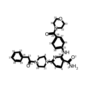 NC(=O)c1ccc(N2CCN(C(=O)Cc3ccccc3)CC2)nc1Nc1ccc(C(=O)N2CCOCC2)cc1